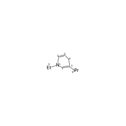 CCN1C=CCC(C(C)C)=C1